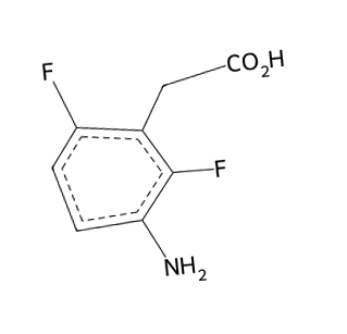 Nc1ccc(F)c(CC(=O)O)c1F